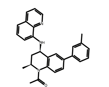 CC(=O)N1c2ccc(-c3cccc(C)c3)cc2[C@H](Nc2cccc3cccnc23)C[C@@H]1C